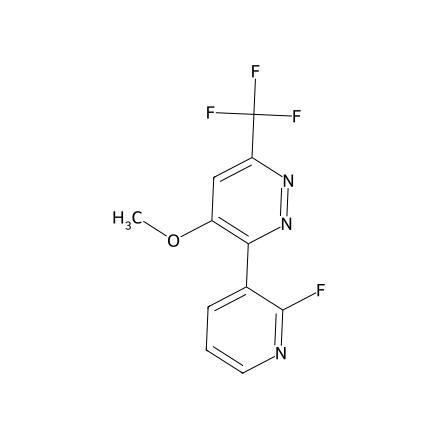 COc1cc(C(F)(F)F)nnc1-c1cccnc1F